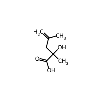 C=C(C)CC(C)(O)C(=O)O